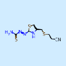 N#CCCSCC1=CSC(N=NC(N)=S)N1